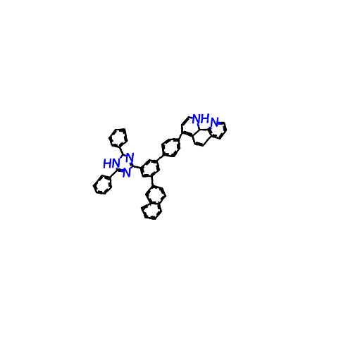 C1=CC(c2ccc(-c3cc(C4=NC(c5ccccc5)NC(c5ccccc5)=N4)cc(-c4ccc5ccccc5c4)c3)cc2)=C2C=Cc3cccnc3C2N1